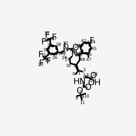 CC(C[C@@H](NC(=O)OC(C)(C)C)C(=O)O)=C1CCN(C(=O)N(C)[C@H](C)c2cc(C(F)(F)F)cc(C(F)(F)F)c2)[C@@H](c2ccc(F)cc2C)C1